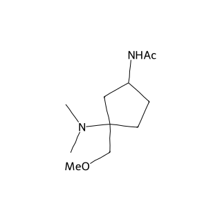 COCC1(N(C)C)CCC(NC(C)=O)C1